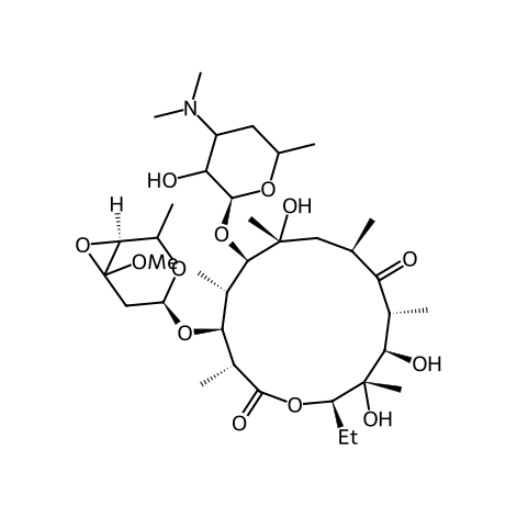 CC[C@H]1OC(=O)[C@H](C)[C@@H](O[C@H]2CC3(OC)O[C@H]3C(C)O2)[C@H](C)[C@@H](O[C@@H]2OC(C)CC(N(C)C)C2O)[C@](C)(O)C[C@@H](C)C(=O)[C@H](C)[C@@H](O)[C@]1(C)O